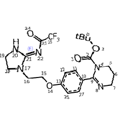 CC(C)(C)OC(=O)N1CCCN=C1c1ccc(OCCN2CCN/C2=N\C(=O)C(F)(F)F)cc1